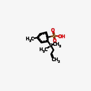 C=CC[Si](C)(C)c1cc(C)ccc1S(=O)(=O)O